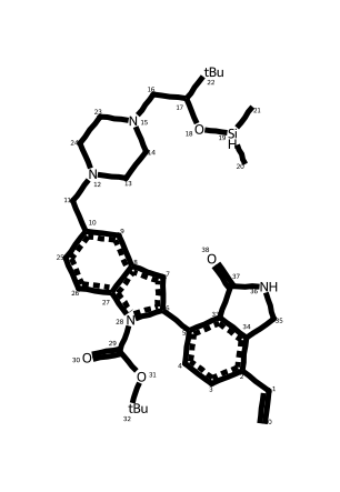 C=Cc1ccc(-c2cc3cc(CN4CCN(CC(O[SiH](C)C)C(C)(C)C)CC4)ccc3n2C(=O)OC(C)(C)C)c2c1CNC2=O